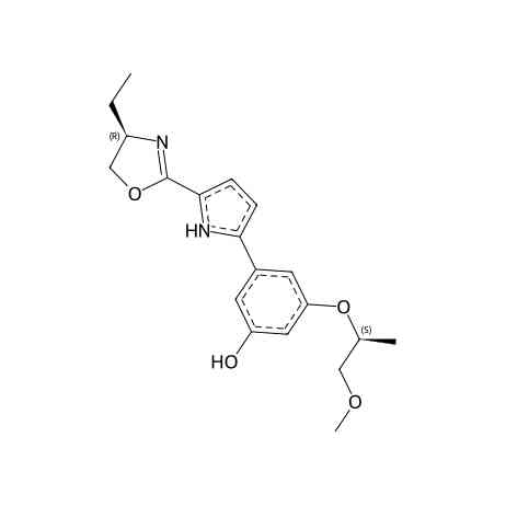 CC[C@@H]1COC(c2ccc(-c3cc(O)cc(O[C@@H](C)COC)c3)[nH]2)=N1